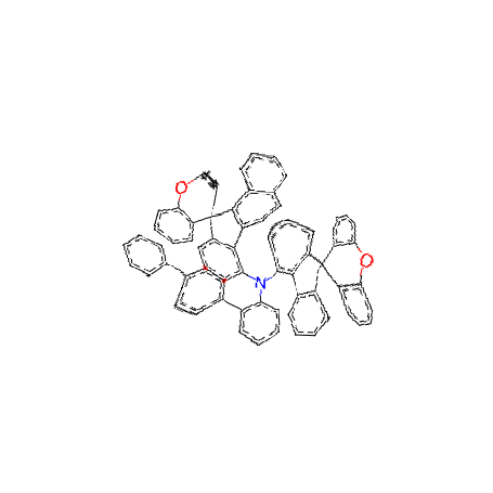 c1ccc(-c2ccc(-c3ccccc3N(c3cccc4c3-c3ccccc3C43c4ccccc4Oc4ccccc43)c3cccc4c3-c3ccc5ccccc5c3C43c4ccccc4Oc4ccccc43)cc2)cc1